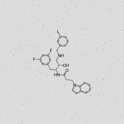 O=C(CCn1ccc2ccccc21)NC(Cc1cc(F)cc(F)c1)C(O)CNCc1cccc(I)c1